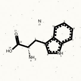 N[C@@H](Cc1c[nH]c2ccccc12)C(=O)O.[N]